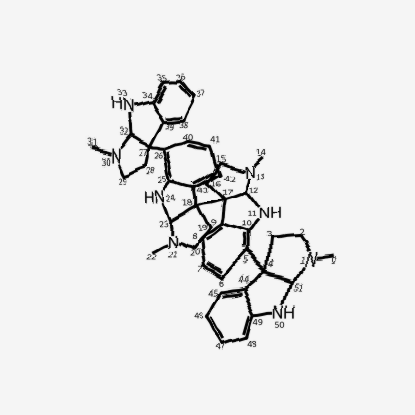 CN1CCC2(c3cccc4c3NC3N(C)CCC43C34CCN(C)C3Nc3c(C56CCN(C)C5Nc5ccccc56)cccc34)c3ccccc3NC12